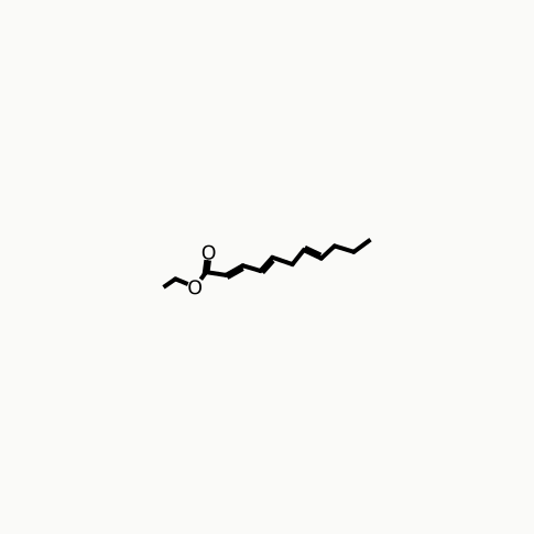 CCC/C=C/C/C=C/C=C/C(=O)OCC